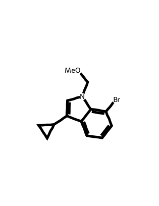 COCn1cc(C2CC2)c2cccc(Br)c21